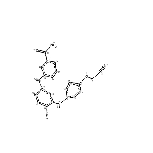 N#CCOc1ccc(Nc2nc(Nc3cccc(C(N)=O)c3)ncc2F)cc1